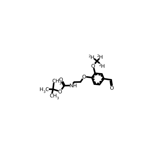 [2H]C([2H])([2H])Oc1cc(C=O)ccc1OCCNC(=O)OC(C)(C)C